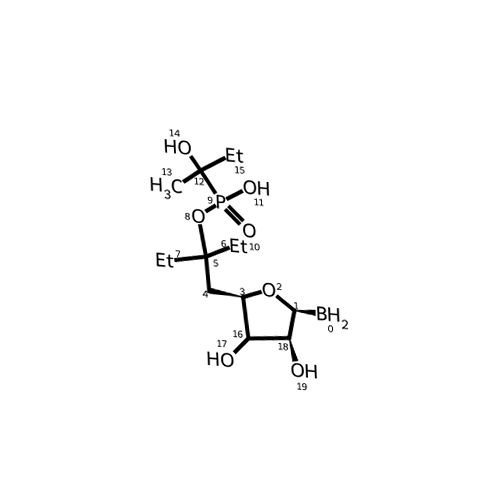 B[C@@H]1O[C@H](CC(CC)(CC)OP(=O)(O)C(C)(O)CC)C(O)[C@@H]1O